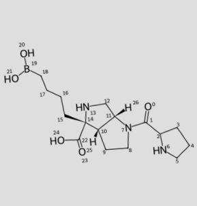 O=C(C1CCCN1)N1CC[C@H]2[C@@H]1CN[C@@]2(CCCCB(O)O)C(=O)O